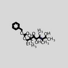 CC[C@H](OC(=O)OCc1ccccc1)C(C)(C)C(=O)[C@H](O)/C(C)=C(\C)[C@H](C)O